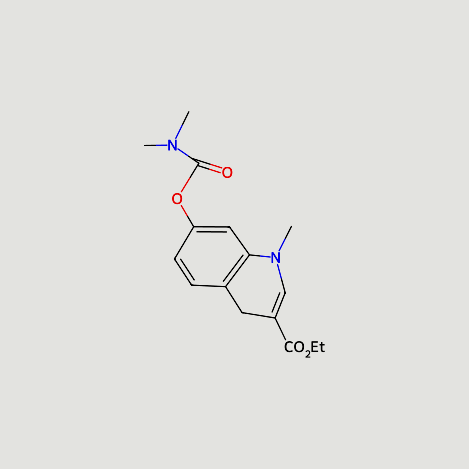 CCOC(=O)C1=CN(C)c2cc(OC(=O)N(C)C)ccc2C1